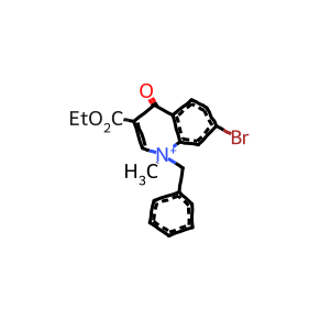 CCOC(=O)C1=C[N+](C)(Cc2ccccc2)c2cc(Br)ccc2C1=O